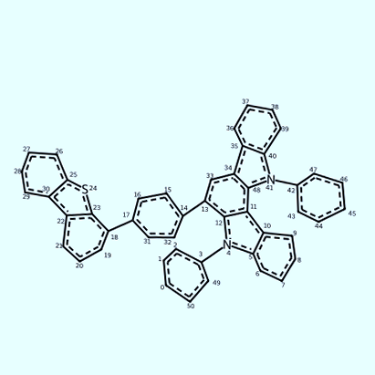 c1ccc(-n2c3ccccc3c3c2c(-c2ccc(-c4cccc5c4sc4ccccc45)cc2)cc2c4ccccc4n(-c4ccccc4)c23)cc1